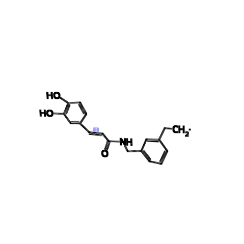 [CH2]Cc1cccc(CNC(=O)/C=C/c2ccc(O)c(O)c2)c1